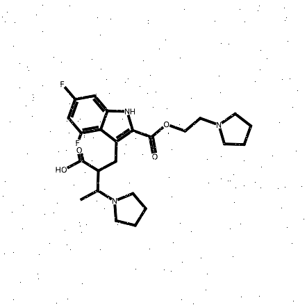 CC(C(Cc1c(C(=O)OCCN2CCCC2)[nH]c2cc(F)cc(F)c12)C(=O)O)N1CCCC1